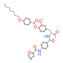 CCCCCCCOc1ccc(C(=O)Oc2ccc(CC(NC(=O)c3ccc(NC(=O)c4cnco4)cc3)C(C)=O)cc2OC)cc1